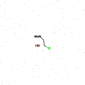 Br.CNCCCl